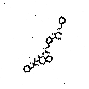 N=C(NC(=O)OCc1ccccc1)c1cccc(CNC(=O)CN2C(=O)C(NS(=O)(=O)Cc3ccccc3)CCc3ccccc32)c1